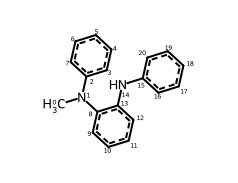 CN(c1ccccc1)c1ccccc1Nc1ccccc1